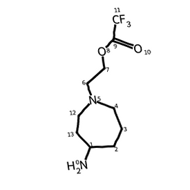 NC1CCCN(CCOC(=O)C(F)(F)F)CC1